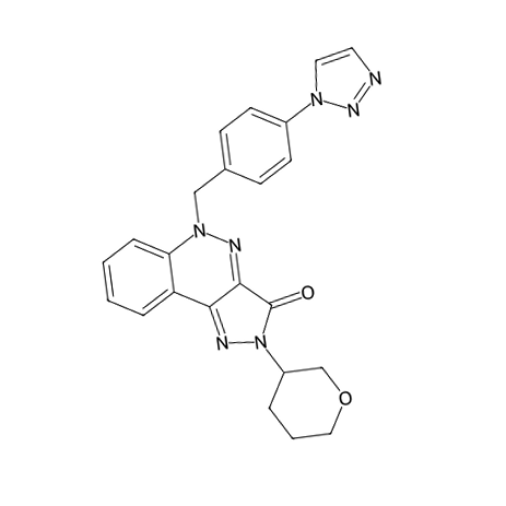 O=c1c2nn(Cc3ccc(-n4ccnn4)cc3)c3ccccc3c-2nn1C1CCCOC1